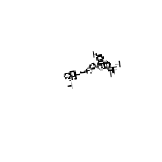 O=C(O)[C@@H](c1cc(F)ccc1[C@H]1CCC2(CO1)CC(F)(F)C2)N1CC[C@@H](OCCCCc2ccc3c(n2)NCCC3)C1